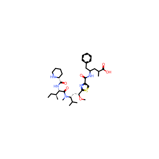 CC[C@H](C)[C@H](NC(=O)[C@H]1CCCCN1)C(=O)N(C)[C@H](C[C@@H](OC)c1nc(C(=O)NC(Cc2ccccc2)CC(C)C(=O)O)cs1)C(C)C